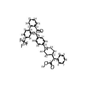 COC(=O)C(c1ccccc1)C1CCN(c2ccc(NC(=O)c3ccccc3-c3ccc(C(F)(F)F)cc3)cc2)CC1